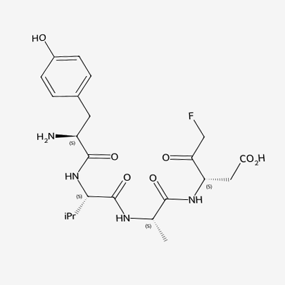 CC(C)[C@H](NC(=O)[C@@H](N)Cc1ccc(O)cc1)C(=O)N[C@@H](C)C(=O)N[C@@H](CC(=O)O)C(=O)CF